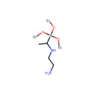 CCO[Si](OCC)(OCC)C(C)NCCN